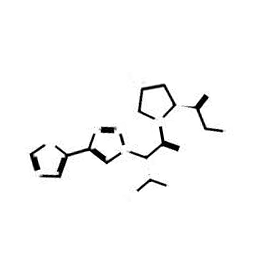 CCC(=O)[C@@H]1C[C@@H](O)CN1C(=O)[C@H](C(C)C)n1cc(-c2cnco2)nn1